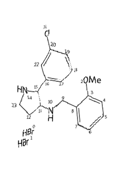 Br.Br.COc1ccccc1CNC1CCNC1c1cccc(Cl)c1